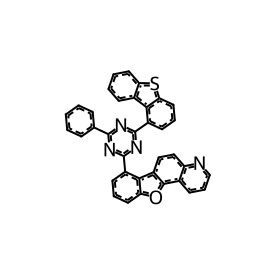 c1ccc(-c2nc(-c3cccc4oc5c6cccnc6ccc5c34)nc(-c3cccc4sc5ccccc5c34)n2)cc1